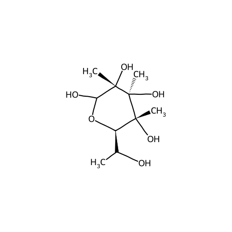 CC(O)[C@H]1OC(O)[C@](C)(O)[C@@](C)(O)[C@]1(C)O